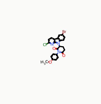 COc1ccc(N2C(=O)CCC(n3c4ccc(Br)cc4c4ccc(Cl)nc43)C2=O)cc1